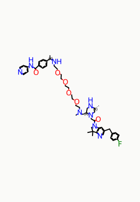 C[C@@H]1CN(CC(=O)N2CC(C)(C)c3ncc(Cc4ccc(F)cc4)cc32)[C@@H](CN(C)CCOCCOCCOCCOCCN[C@H](C)c2ccc(C(=O)Nc3ccncc3)cc2)CN1